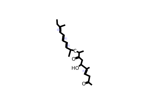 CC/C(C)=C/C=C/C=C/C(C)CC(C)C(=O)CC(O)/C(C)=C/CC(C)=O